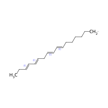 [CH2]CCCCC/C=C/C=C/C/C=C/C=C/CC